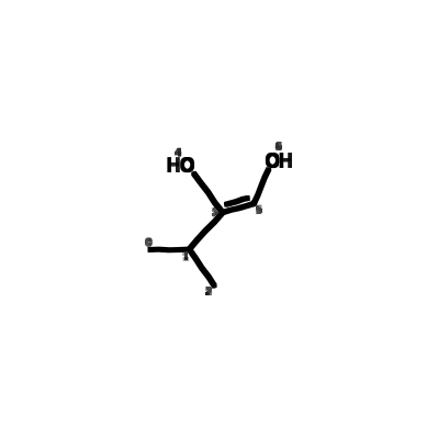 CC(C)C(O)=CO